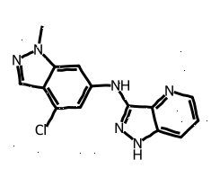 Cn1ncc2c(Cl)cc(Nc3n[nH]c4cccnc34)cc21